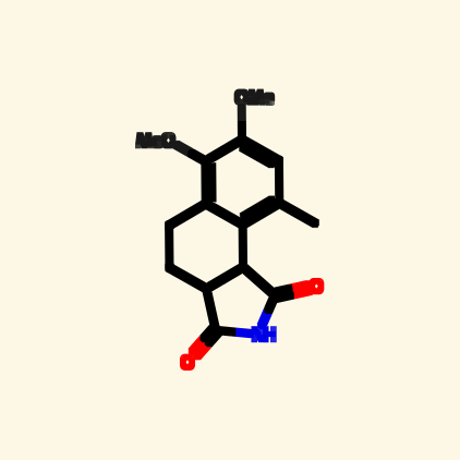 COc1cc(C)c2c(c1OC)CCC1C(=O)NC(=O)C21